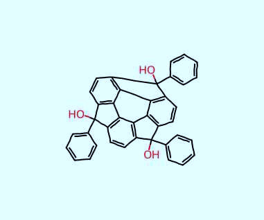 OC1(c2ccccc2)c2ccc3c4c2c2c1ccc1c2c2c(ccc(c42)C3(O)c2ccccc2)C1(O)c1ccccc1